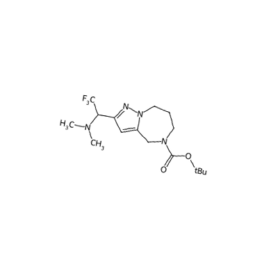 CN(C)C(c1cc2n(n1)CCCN(C(=O)OC(C)(C)C)C2)C(F)(F)F